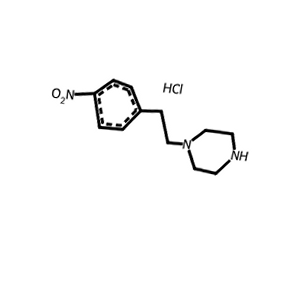 Cl.O=[N+]([O-])c1ccc(CCN2CCNCC2)cc1